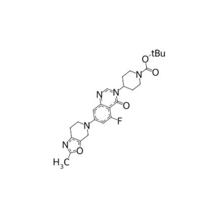 Cc1nc2c(o1)CN(c1cc(F)c3c(=O)n(C4CCN(C(=O)OC(C)(C)C)CC4)cnc3c1)CC2